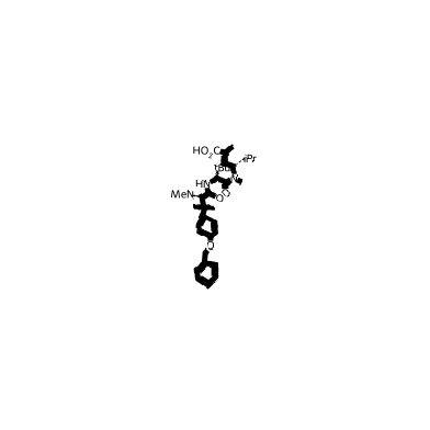 CN[C@H](C(=O)N[C@H](C(=O)N(C)[C@H](/C=C(\C)C(=O)O)C(C)C)C(C)(C)C)C(C)(C)c1ccc(OCc2ccccc2)cc1